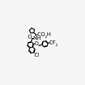 O=C(N[C@H](C(=O)O)C1CCCC1)c1ccc2ccc(Cl)cc2c1OCc1ccc(C(F)(F)F)cc1